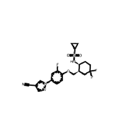 N#Cc1cnn(-c2ccc(OC[C@@H]3CC(F)(F)CC[C@@H]3NS(=O)(=O)C3CC3)c(F)c2)c1